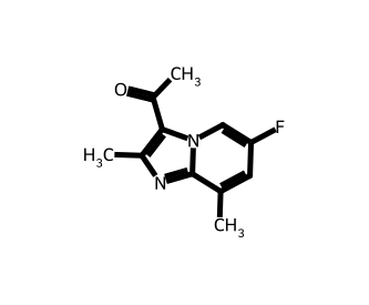 CC(=O)c1c(C)nc2c(C)cc(F)cn12